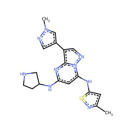 Cc1cc(Nc2cc(NC3CCNC3)nc3c(-c4cnn(C)c4)cnn23)sn1